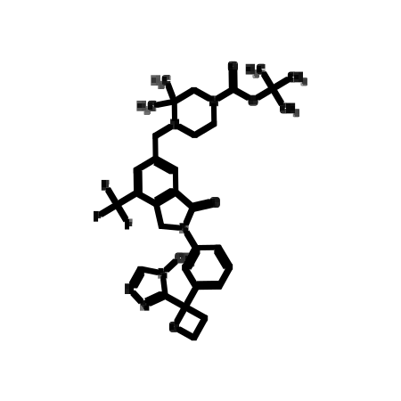 Cn1cnnc1C1(c2cccc(N3Cc4c(cc(CN5CCN(C(=O)OC(C)(C)C)CC5(C)C)cc4C(F)(F)F)C3=O)c2)CCO1